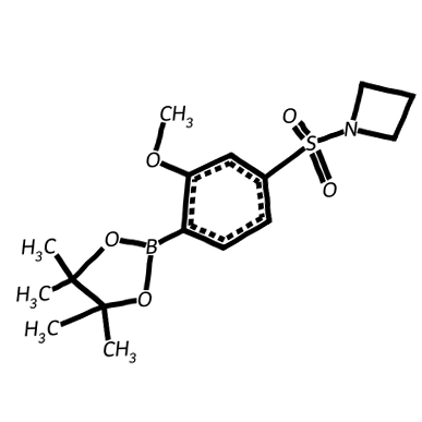 COc1cc(S(=O)(=O)N2CCC2)ccc1B1OC(C)(C)C(C)(C)O1